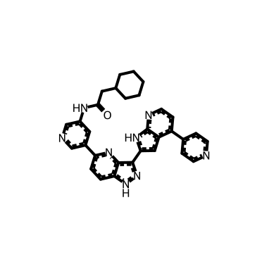 O=C(CC1CCCCC1)Nc1cncc(-c2ccc3[nH]nc(-c4cc5c(-c6ccncc6)ccnc5[nH]4)c3n2)c1